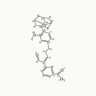 COC(=O)c1cccc(C(C=O)=CCCc2ccc(C34CC5CC(CC(C5)C3)C4)c(OC)c2)c1